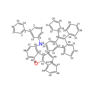 c1ccc(-c2cccc(N(c3ccc4c(c3)c(-c3ccccc3)c(-c3ccccc3)c3ccccc34)c3cccc4oc5c6ccccc6ccc5c34)c2)cc1